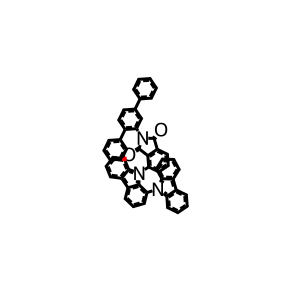 O=C1c2cccc(-n3c4ccccc4c4cccc(-n5c6ccccc6c6ccccc65)c43)c2C(=O)N1c1cc(-c2ccccc2)ccc1-c1ccccc1